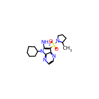 CC1CCCN1S(=O)(=O)c1c(N)n(C2CCCCC2)c2nccnc12